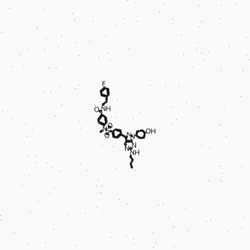 CCCCNc1ncc2c(-c3ccc(S(=O)(=O)N(C)c4ccc(C(=O)NCCc5ccc(F)cc5)cc4)cc3)nn([C@H]3CC[C@H](O)CC3)c2n1